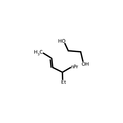 C/C=C/C(CC)CCC.OCCO